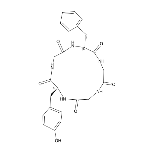 O=C1CNC(=O)[C@@H](Cc2ccccc2)NC(=O)CNC(=O)[C@H](Cc2ccc(O)cc2)NC(=O)CN1